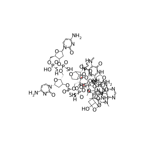 C=Nc1c(N)ncnc1N(C)[C@@H]1O[C@@]2(COP(=O)(S)OC3C[C@H](n4ccc(N)nc4=O)O[C@@H]3COP(=O)(S)OC3C[C@H](n4ccc(N)nc4=O)O[C@@H]3COP(=O)(O)S)COC1C2OP(=O)(S)OC[C@]12COC(C1OP(=O)(S)OC[C@]13COC(C1OP(=O)(S)OC[C@]14CC5(O)OC(C51)[C@H](N(C)c1ncnc(N)c1N=C)O4)[C@H](n1cc(C)c(=O)[nH]c1=O)O3)[C@H](N(C)c1nc(N)[nH]c(=O)c1N=C)O2